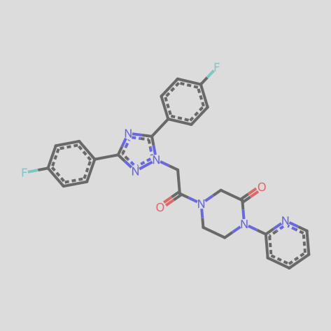 O=C(Cn1nc(-c2ccc(F)cc2)nc1-c1ccc(F)cc1)N1CCN(c2ccccn2)C(=O)C1